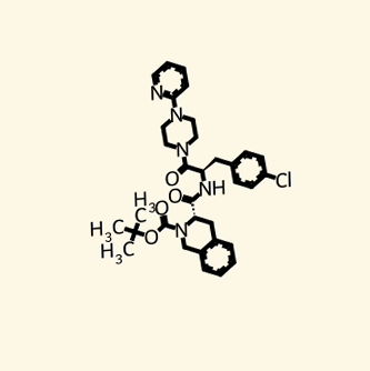 CC(C)(C)OC(=O)N1Cc2ccccc2C[C@H]1C(=O)N[C@H](Cc1ccc(Cl)cc1)C(=O)N1CCN(c2ccccn2)CC1